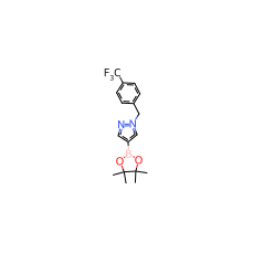 CC1(C)OB(c2cnn(Cc3ccc(C(F)(F)F)cc3)c2)OC1(C)C